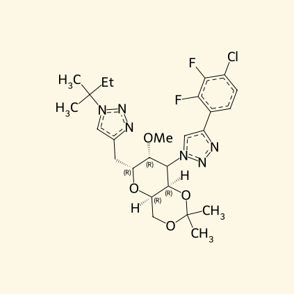 CCC(C)(C)n1cc(C[C@H]2O[C@@H]3COC(C)(C)O[C@@H]3C(n3cc(-c4ccc(Cl)c(F)c4F)nn3)[C@H]2OC)nn1